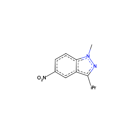 CC(C)c1nn(C)c2ccc([N+](=O)[O-])cc12